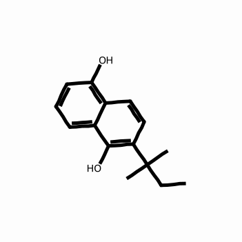 CCC(C)(C)c1ccc2c(O)cccc2c1O